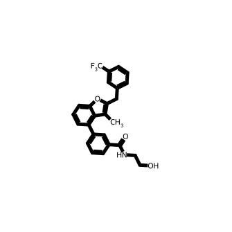 Cc1c(Cc2cccc(C(F)(F)F)c2)oc2cccc(-c3cccc(C(=O)NCCO)c3)c12